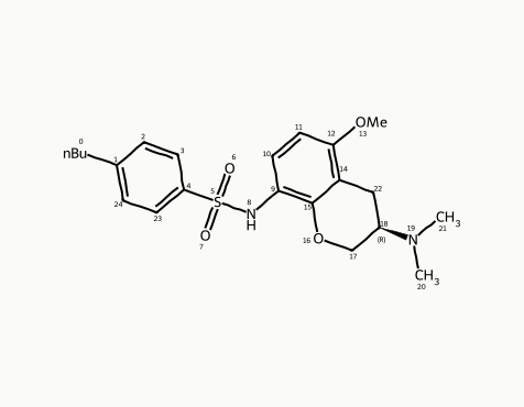 CCCCc1ccc(S(=O)(=O)Nc2ccc(OC)c3c2OC[C@H](N(C)C)C3)cc1